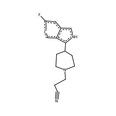 N#CCCN1CCC(c2[nH]cc3cc(F)ccc23)CC1